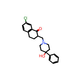 O=C1c2cc(Cl)ccc2CCC1CN1CCC(O)(c2ccccc2)CC1